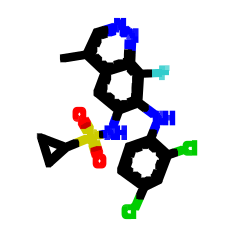 Cc1cnnc2c(F)c(Nc3ccc(Cl)cc3Cl)c(NS(=O)(=O)C3CC3)cc12